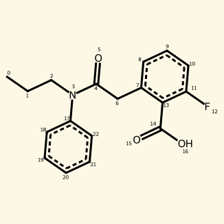 CCCN(C(=O)Cc1cccc(F)c1C(=O)O)c1ccccc1